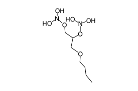 CCCCOCC(CON(O)O)ON(O)O